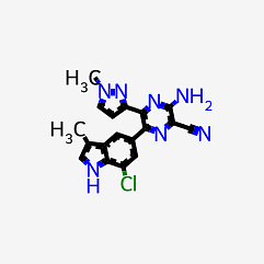 Cc1c[nH]c2c(Cl)cc(-c3nc(C#N)c(N)nc3-c3ccn(C)n3)cc12